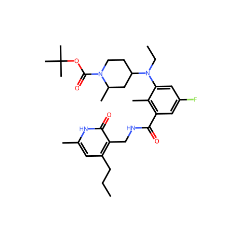 CCCc1cc(C)[nH]c(=O)c1CNC(=O)c1cc(F)cc(N(CC)C2CCN(C(=O)OC(C)(C)C)C(C)C2)c1C